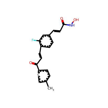 Cc1ccc(C(=O)C=Cc2ccc(C=CC(=O)NO)cc2F)cc1